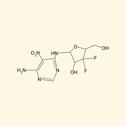 Nc1ncnc(NC2OC(CO)C(F)(F)C2O)c1[N+](=O)[O-]